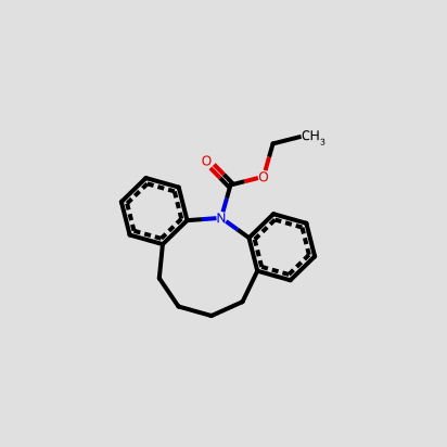 CCOC(=O)N1c2ccccc2CCCCc2ccccc21